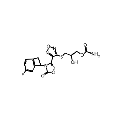 NC(=O)OCC(O)CSc1nonc1-c1noc(=O)n1C1Cc2ccc(F)cc21